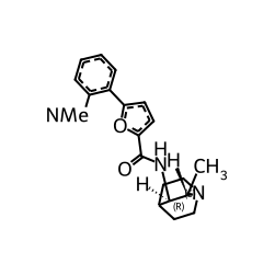 CNc1ccccc1-c1ccc(C(=O)N[C@@H]2C3CCN(CC3)[C@H]2C)o1